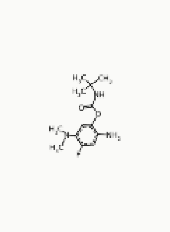 CN(C)c1cc(OC(=O)NC(C)(C)C)c(N)cc1F